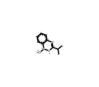 CC(C)C1=Nc2ccccc2B(O)O1